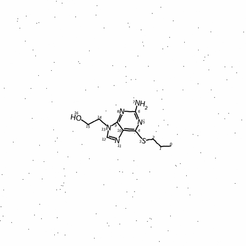 CCCSc1nc(N)nc2c1ncn2CCO